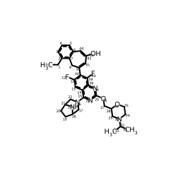 CCc1cccc2c1CC(c1c(F)cc3c(N4CC5CCC(C4)N5)nc(OCC4CN(C(C)C)CCO4)nc3c1F)=CC(O)=C2